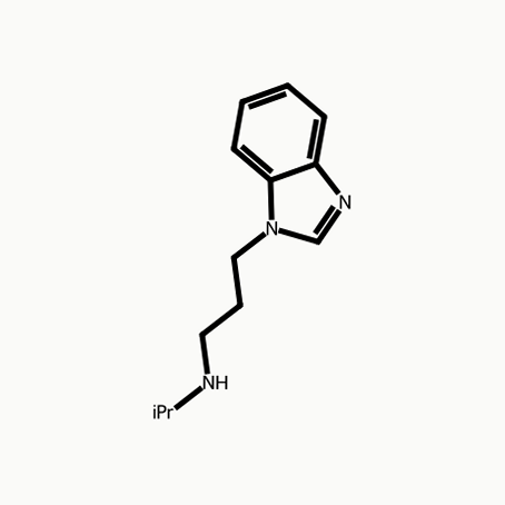 CC(C)NCCCn1cnc2ccccc21